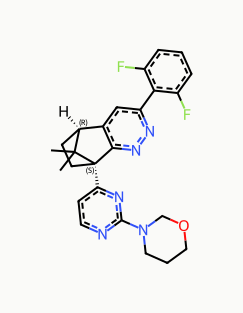 CC1(C)[C@H]2CC[C@]1(c1ccnc(N3CCCOC3)n1)c1nnc(-c3c(F)cccc3F)cc12